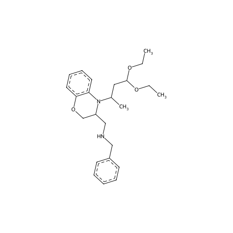 CCOC(CC(C)N1c2ccccc2OCC1CNCc1ccccc1)OCC